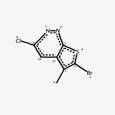 Cc1c(Br)sc2nnc(Cl)cc12